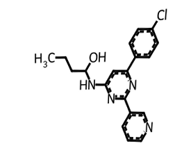 CCCC(O)Nc1cc(-c2ccc(Cl)cc2)nc(-c2cccnc2)n1